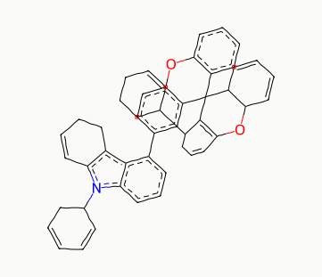 C1=CCC(n2c3c(c4c(-c5ccc6c(c5)C5(C7=C(C=CCC7C7C=CCCC7)OC7C=CC=CC75)c5ccccc5O6)cccc42)CCC=C3)C=C1